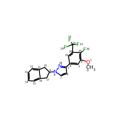 COc1cc(-c2ccn(C3Cc4ccccc4C3)n2)cc(C(F)(F)F)c1F